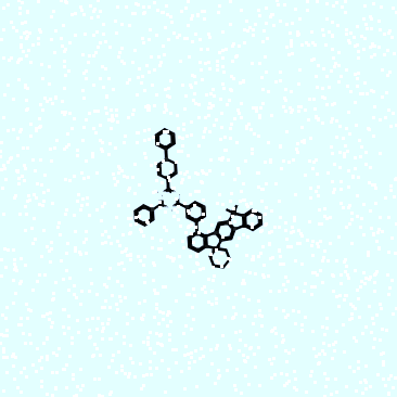 CC1(C)c2ccccc2-c2cc3c(cc21)-c1c(-c2cccc(C4N=C(C5=CCC(c6ccccc6)C=C5)N=C(c5ccccc5)N4)c2)cccc1C31CCCCC1